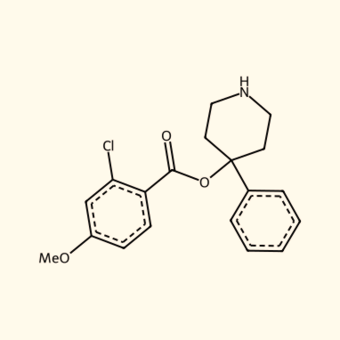 COc1ccc(C(=O)OC2(c3ccccc3)CCNCC2)c(Cl)c1